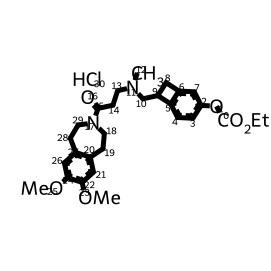 CCOC(=O)Oc1ccc2c(c1)CC2CN(C)CCC(=O)N1CCc2cc(OC)c(OC)cc2CC1.Cl